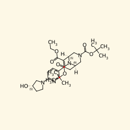 CCOC(=O)C1=C(c2ccc(N3CC[C@H](O)C3)nc2)C[C@@H]2CN(C(=O)OC(C)(C)C)C[C@H]1N2C(=O)OC(C)(C)C